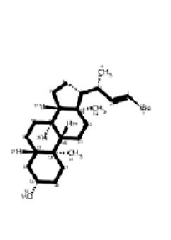 CC[C@H](C)/C=C/[C@@H](C)[C@H]1CC[C@H]2[C@@H]3CC[C@H]4C[C@@H](O)CC[C@]4(C)[C@H]3CC[C@]12C